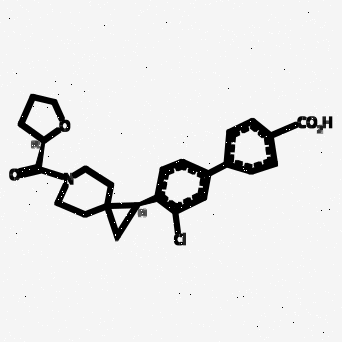 O=C(O)c1ccc(-c2ccc([C@H]3CC34CCN(C(=O)[C@H]3CCCO3)CC4)c(Cl)c2)cc1